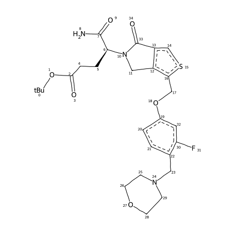 CC(C)(C)OC(=O)CC[C@@H](C(N)=O)N1Cc2c(csc2COc2ccc(CN3CCOCC3)c(F)c2)C1=O